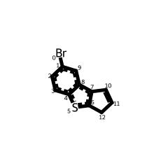 Brc1ccc2sc3c(c2c1)C=CC3